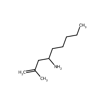 C=C(C)CC(N)CCCCC